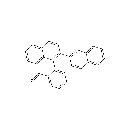 O=Cc1ccccc1-c1c(-c2ccc3ccccc3c2)ccc2ccccc12